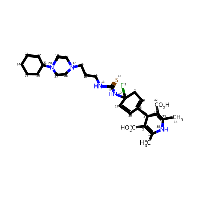 CC1=C(C(=O)O)C(C2=CCC(F)(NC(=S)NCCCN3CCN(C4CCCCC4)CC3)C=C2)C(C(=O)O)=C(C)N1